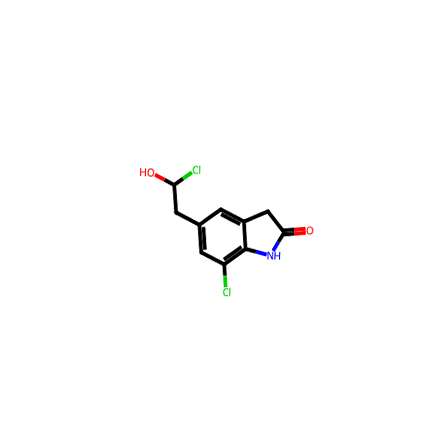 O=C1Cc2cc(CC(O)Cl)cc(Cl)c2N1